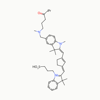 CC(C)C(=O)CCCN(C)Cc1ccc2c(c1)C(C)(C)/C(=C\C1=CC(=C/C3=[N+](CCCS(=O)(=O)O)c4ccccc4C3(C)C)/CC1)N2C